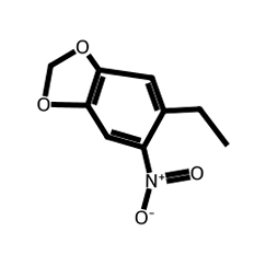 CCc1cc2c(cc1[N+](=O)[O-])OCO2